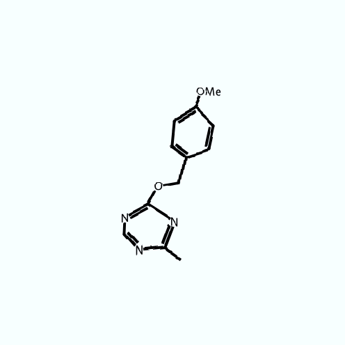 COc1ccc(COc2ncnc(C)n2)cc1